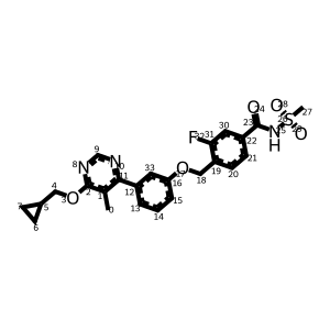 Cc1c(OCC2CC2)ncnc1-c1cccc(OCc2ccc(C(=O)NS(C)(=O)=O)cc2F)c1